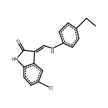 CCc1ccc(N/C=C2/C(=O)Nc3ccc(Cl)cc32)cc1